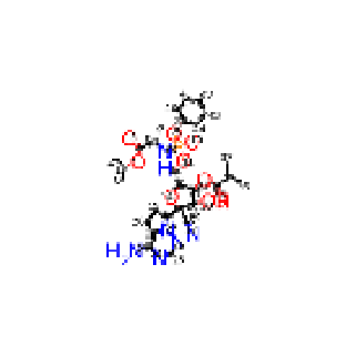 CC(C)OC(=O)[C@H](C)NP(=O)(OC[C@H]1O[C@@](C#N)(c2ccc3c(N)ncnn23)[C@](C)(O)[C@@H]1OC(=O)C(C)C)Oc1ccccc1